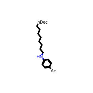 CCCCCCCCCCCCCCCCCCNc1ccc(C(C)=O)cc1